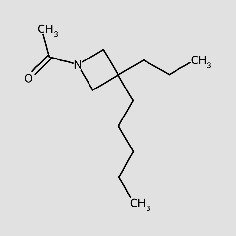 CCCCCC1(CCC)CN(C(C)=O)C1